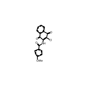 COc1ccc(C(=O)NC2=C(Cl)C(=O)c3ccccc3C2=O)cc1